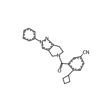 N#Cc1ccc(C2CCC2)c(C(=O)N2CCc3nn(-c4ccccc4)cc3C2)c1